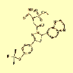 CS(=O)(=O)C(CC(=O)N1N=C(c2ccc(OC(F)(F)F)cc2)CC1c1ccc2nccnc2c1)C(N)=O